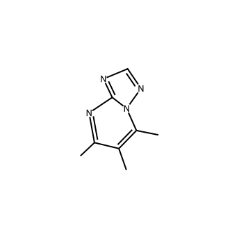 Cc1nc2ncnn2c(C)c1C